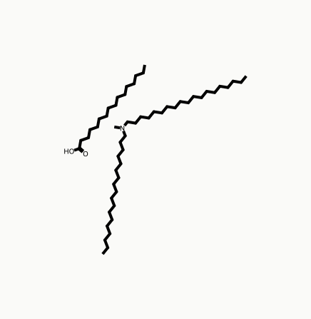 CCCCCCCCCCCCCCCC(=O)O.CCCCCCCCCCCCCCCCCCCN(C)CCCCCCCCCCCCCCCCCC